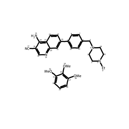 CCN1CCN(Cc2ccc(-c3ccc4c(N)c(C#N)cnc4c3)cc2)CC1.COc1cccc(OC)c1OC